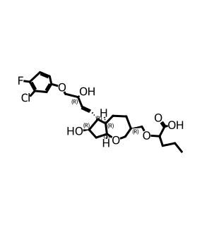 CCCC(OC[C@@H]1CC[C@@H]2[C@@H](C=C[C@@H](O)COc3ccc(F)c(Cl)c3)[C@H](O)C[C@@H]2OC1)C(=O)O